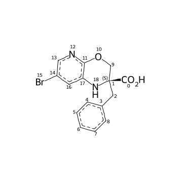 O=C(O)[C@]1(Cc2ccccc2)COc2ncc(Br)cc2N1